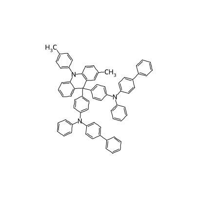 Cc1ccc(N2c3ccccc3C(c3ccc(N(c4ccccc4)c4ccc(-c5ccccc5)cc4)cc3)(c3ccc(N(c4ccccc4)c4ccc(-c5ccccc5)cc4)cc3)c3cc(C)ccc32)cc1